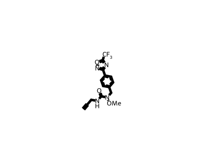 C#CCNC(=O)N(Cc1ccc(-c2noc(C(F)(F)F)n2)cc1)OC